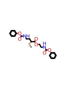 CSC(CCNC(=O)Oc1ccccc1)C(=O)OCCNC(=O)Oc1ccccc1